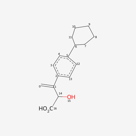 C=C(c1ccc(C2CCCCC2)cc1)C(O)C(=O)O